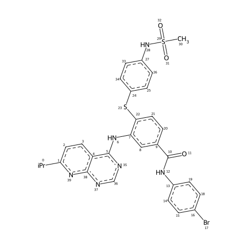 CC(C)c1ccc2c(Nc3cc(C(=O)Nc4ccc(Br)cc4)ccc3Sc3ccc(NS(C)(=O)=O)cc3)ncnc2n1